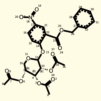 CC(=O)O[C@@H]1[C@H](OC(C)=O)COC(Oc2ccc([N+](=O)[O-])cc2C(=O)OCc2ccccc2)[C@@H]1OC(C)=O